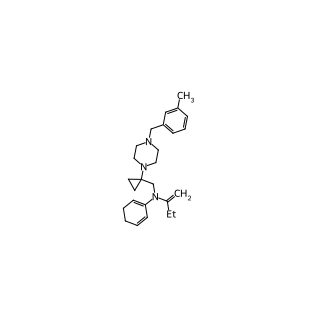 C=C(CC)N(CC1(N2CCN(Cc3cccc(C)c3)CC2)CC1)C1=CCCC=C1